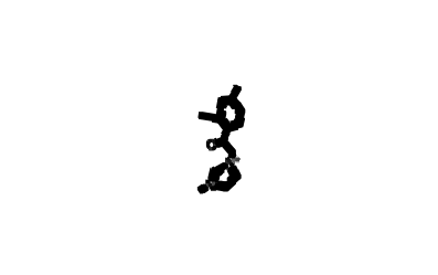 Cc1ccc(C(=O)C[n+]2ccn(C)c2)c(C)c1